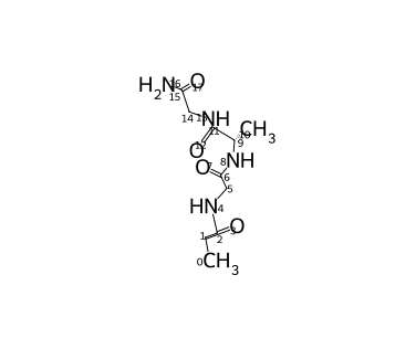 CCC(=O)NCC(=O)N[C@@H](C)C(=O)NCC(N)=O